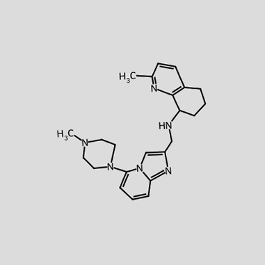 Cc1ccc2c(n1)C(NCc1cn3c(N4CCN(C)CC4)cccc3n1)CCC2